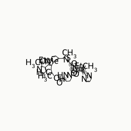 CCO[C@@H]1C2=NC(c3ccc4c(c3)c(c(-c3cccnc3[C@H](C)OC)n4CC)CC(C)(C)COC(=O)[C@@H]3CCCN(N3)C(=O)[C@H]1NC(=O)[C@@H]1[C@@H](C)[C@H]1c1ncccn1)C(C)S2